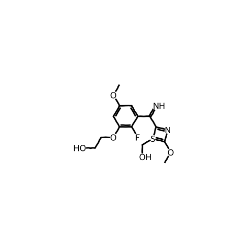 COC1=S(CO)C(C(=N)c2cc(OC)cc(OCCO)c2F)=N1